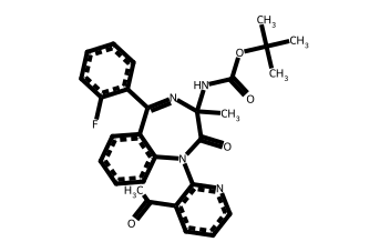 CC(=O)c1cccnc1N1C(=O)C(C)(NC(=O)OC(C)(C)C)N=C(c2ccccc2F)c2ccccc21